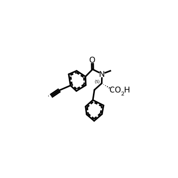 [C]#Cc1ccc(C(=O)N(C)[C@@H](Cc2ccccc2)C(=O)O)cc1